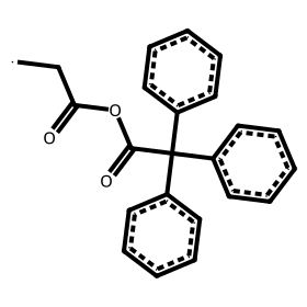 [CH2]CC(=O)OC(=O)C(c1ccccc1)(c1ccccc1)c1ccccc1